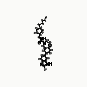 CCCCCc1ccc(CNC(=O)N2CCOc3ccc(-c4ccc5nc(C)[nH]c5c4)cc3C2)cc1